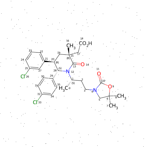 C[C@@H](CCN1CC(C)(C)OC1=O)N1C(=O)[C@@](C)(CC(=O)O)C[C@H](c2cccc(Cl)c2)[C@H]1c1ccc(Cl)cc1